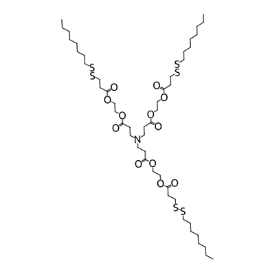 CCCCCCCCSSCCC(=O)OCCOC(=O)CCN(CCC(=O)OCCOC(=O)CCSSCCCCCCCC)CCC(=O)OCCOC(=O)CCSSCCCCCCCC